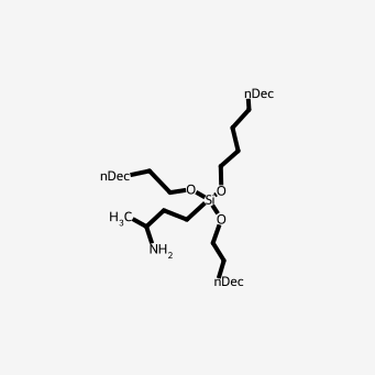 CCCCCCCCCCCCCCO[Si](CCC(C)N)(OCCCCCCCCCCCC)OCCCCCCCCCCCC